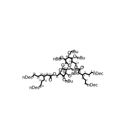 CCCCCCCCCCCCCC(CCCCCCCCCCCCC)CC(=O)OCC1O[C@H](O[C@H]2OC(COC(=O)CC(CCCCCCCCCCCCC)CCCCCCCCCCCCC)[C@@H](OCCCC)[C@H](OCCCC)C2OCCCC)C(OCCCC)[C@@H](OCCCC)[C@@H]1OCCCC